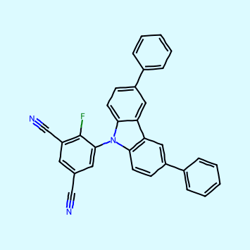 N#Cc1cc(C#N)c(F)c(-n2c3ccc(-c4ccccc4)cc3c3cc(-c4ccccc4)ccc32)c1